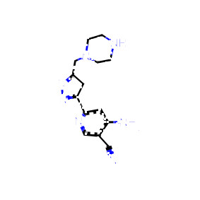 N#Cc1cnc(C2=NN=C(CN3CCNCC3)C2)cc1N